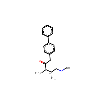 CCOC(=O)C(C(=O)Cc1ccc(-c2ccccc2)cc1)[C@@H](C)CNC(C)(C)C